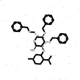 CC1CCC(C(C)C)C(O[C@@H]2[C@@H](OCc3ccccc3)[C@H](OCc3ccccc3)[C@@H](COCc3ccccc3)O[C@@H]2O)C1